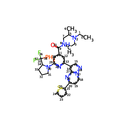 CCN(CC)C(C)CNC(=O)c1cc(-c2cnn3ccc(-c4cccs4)nc23)nc(N2CCCC2C(F)(F)P)c1